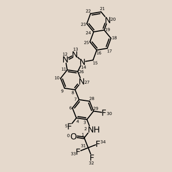 O=C(Nc1c(F)cc(-c2ccc3nnn(Cc4ccc5ncccc5c4)c3n2)cc1F)C(F)(F)F